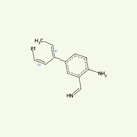 C/C=C(\C=C/CC)c1ccc(N)c(C=N)c1